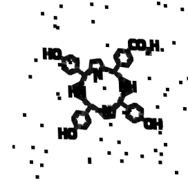 O=C(O)c1ccc(-c2c3nc(c(-c4ccc(O)cc4)c4ccc([nH]4)c(-c4ccc(O)cc4)c4nc(c(-c5ccc(O)cc5)c5ccc2[nH]5)C=C4)C=C3)cc1